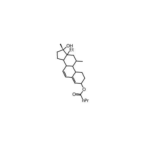 CCCC(=O)OC1C=C2C=CC3C(C(C)CC4(CC)C3CC[C@]4(C)O)C2CC1